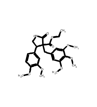 CCOC(=O)C1(Cc2cc(OC)c(OC)c(OC)c2)C(=O)NCC1c1ccc(OC)c(OC)c1